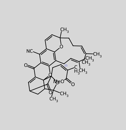 COC(=O)/C(C)=C\CC12OC(C)(C)C3CC(C=C4C(=O)c5c(C#N)c6c(c(CC=C(C)C)c5OC431)OC(C)(CCC=C(C)C)C=C6)C2=O